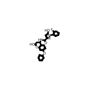 O=C(O)CC(NC(=O)c1cc(O)n(-c2ccccc2F)n1)c1ccc(Oc2ccccc2)cc1